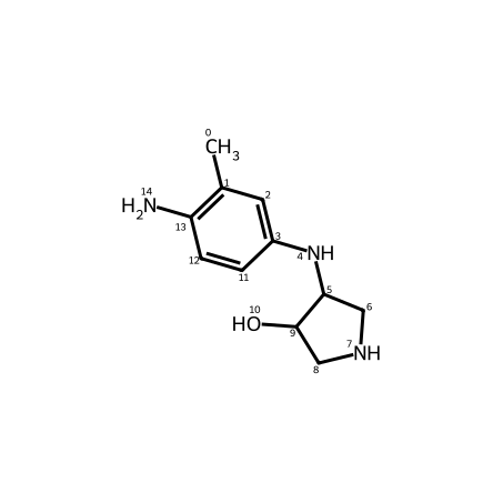 Cc1cc(NC2CNCC2O)ccc1N